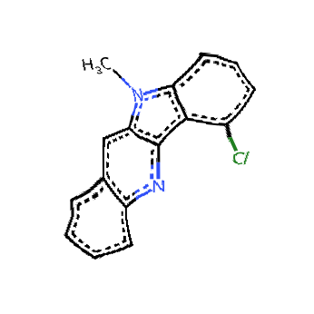 Cn1c2cc3ccccc3nc2c2c(Cl)cccc21